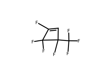 FC1=CC(F)(C(F)(F)F)C1(F)F